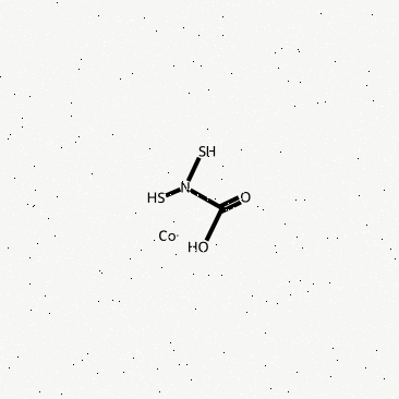 O=C(O)N(S)S.[Co]